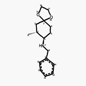 C[C@@H]1CC2(CC[C@H]1NCc1ccccc1)OCCO2